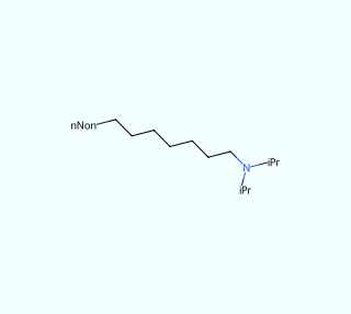 CCCCCCCCCCCCCCCCN(C(C)C)C(C)C